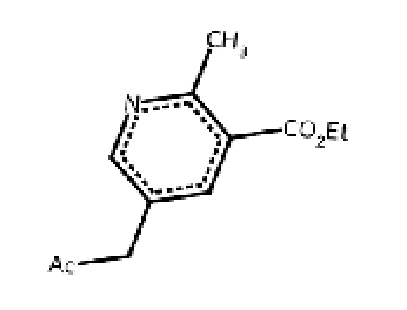 CCOC(=O)c1cc(CC(C)=O)cnc1C